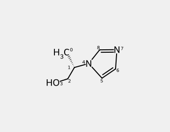 C[C@@H](CO)n1ccnc1